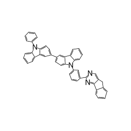 c1ccc(-n2c3ccccc3c3cc(-c4ccc5c(c4)c4ccccc4n5-c4cccc(-c5ncc6c(n5)-c5ccccc5C6)c4)ccc32)cc1